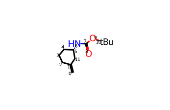 C=C1CCC[C@H](NC(=O)OC(C)(C)C)C1